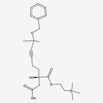 CC(C)(C#CCC[C@@](O)(CC(=O)O)C(=O)OCC[Si](C)(C)C)OCc1ccccc1